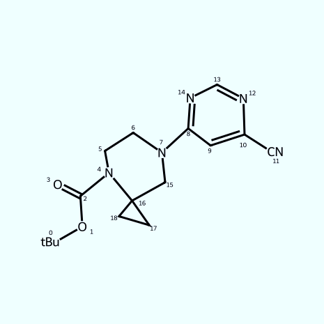 CC(C)(C)OC(=O)N1CCN(c2cc(C#N)ncn2)CC12CC2